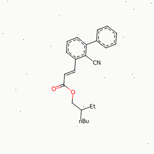 CCCCC(CC)COC(=O)C=Cc1cccc(-c2ccccc2)c1C#N